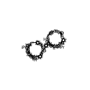 CC(C)C[C@H]1NC(=O)c2ccccc2OCC(=O)N(C)CCOc2ccc(cc2)CCNC(=O)[C@H](Cc2ccc(CN3CCOc4ccc(cc4)CCNC(=O)[C@H](CC(C)C)N(C)C(=O)[C@H]4CCCN4C(=O)[C@@H](CC(C)C)NC(=O)c4ccccc4OCC3=O)cc2)N(C)C(=O)[C@H]2CCCN2C1=O